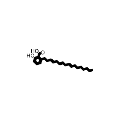 CCCCCCC/C=C/C/C=C/C/C=C/CCc1cccc(O)c1C(=O)O